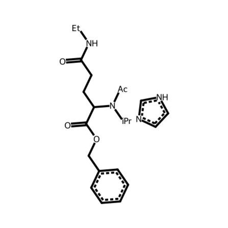 CCNC(=O)CCC(C(=O)OCc1ccccc1)N(C(C)=O)C(C)C.c1c[nH]cn1